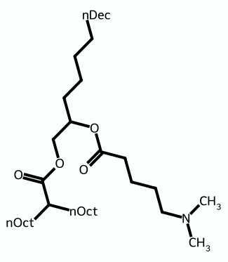 CCCCCCCCCCCCCCC(COC(=O)C(CCCCCCCC)CCCCCCCC)OC(=O)CCCCN(C)C